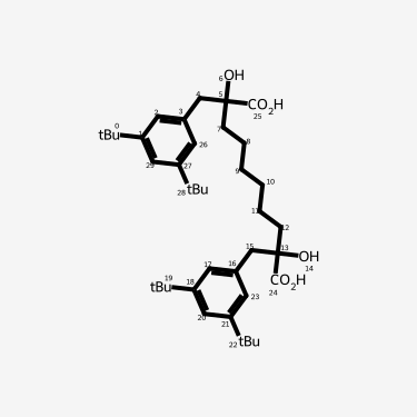 CC(C)(C)c1cc(CC(O)(CCCCCCC(O)(Cc2cc(C(C)(C)C)cc(C(C)(C)C)c2)C(=O)O)C(=O)O)cc(C(C)(C)C)c1